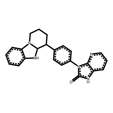 O=c1[nH]c2cccnc2n1-c1ccc(C2CCCN3c4ccccc4NC23)cc1